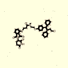 CN(CCOc1ccc(/C(=C(/CCCl)c2ccccc2)c2ccccc2)cc1)C(=O)CCSc1cccc2c1C(=O)N(C1CCC(=O)NC1=O)C2=O